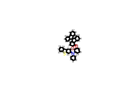 c1ccc(N(c2ccc3c(c2)sc2ccccc23)c2cccc3c2Oc2ccc4c(c2O3)-c2ccccc2C42c3ccccc3-c3ccccc32)cc1